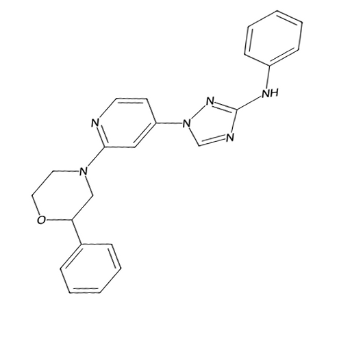 c1ccc(Nc2ncn(-c3ccnc(N4CCOC(c5ccccc5)C4)c3)n2)cc1